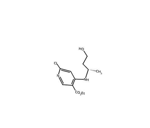 CCOC(=O)c1cnc(Cl)cc1N[C@@H](C)CCO